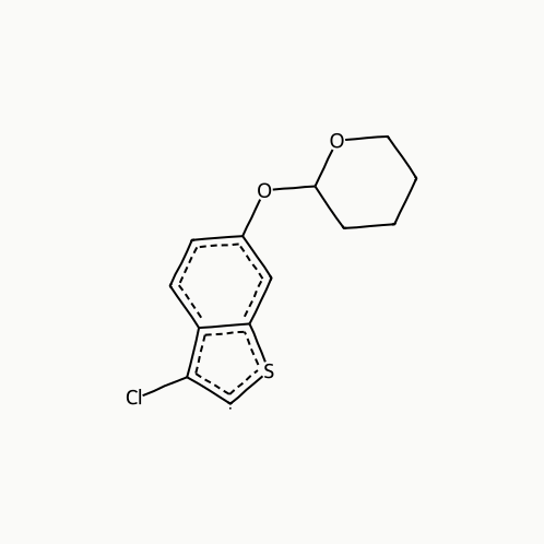 Clc1[c]sc2cc(OC3CCCCO3)ccc12